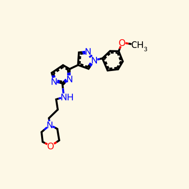 COc1cccc(-n2cc(-c3ccnc(NCCCN4CCOCC4)n3)cn2)c1